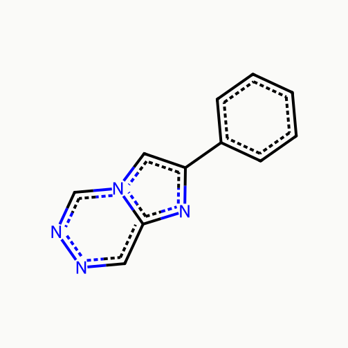 c1ccc(-c2cn3cnncc3n2)cc1